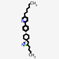 CCCCCCc1ccc(-c2ccc([C@H]3CC[C@](C#N)(CC(F)CCCC)CC3)cc2)nc1